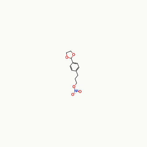 O=[N+]([O-])OCCCc1ccc(C2OCCO2)cc1